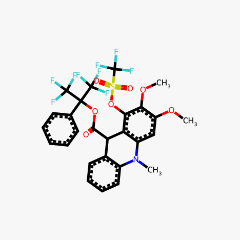 COc1cc2c(c(OS(=O)(=O)C(F)(F)F)c1OC)C(C(=O)OC(c1ccccc1)(C(F)(F)F)C(F)(F)F)c1ccccc1N2C